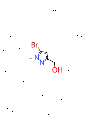 Cn1nc(CO)cc1Br